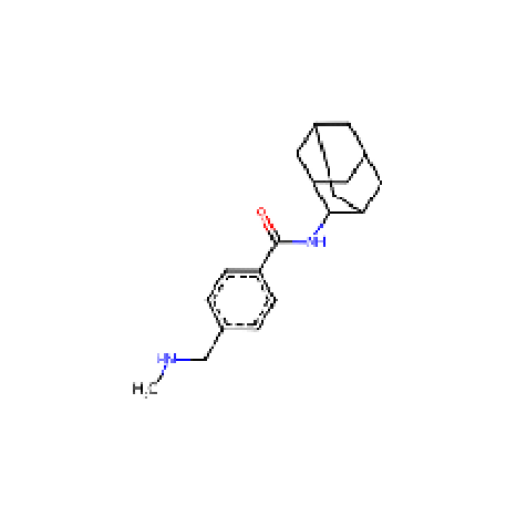 CNCc1ccc(C(=O)NC2C3CC4CC(C3)CC2C4)cc1